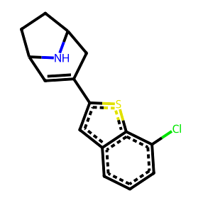 Clc1cccc2cc(C3=CC4CCC(C3)N4)sc12